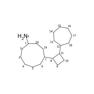 NC1CCCCCC(C2CCC2C2CCCCCC2)CC1